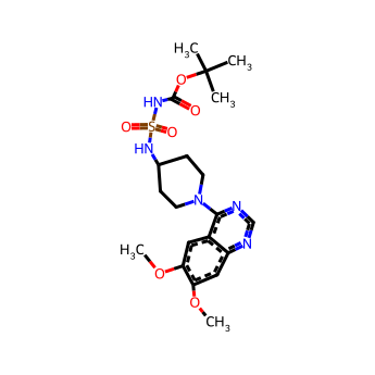 COc1cc2ncnc(N3CCC(NS(=O)(=O)NC(=O)OC(C)(C)C)CC3)c2cc1OC